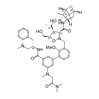 COc1c(CN2O[C@@H](CO)[C@@H]([C@H](C)O)[C@H]2C(=O)N[C@H]2C[C@H]3C[C@@H]([C@@H]2C)C3(C)C)cccc1-c1cc(C(=O)N[C@@H](Cc2ccccc2)CN(C)C)cc(N(C)CC(=O)N(C)C)c1